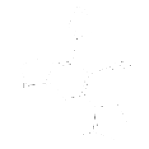 Cc1occc1-c1nc2[nH]ncc2c(-c2ccco2)c1C#N